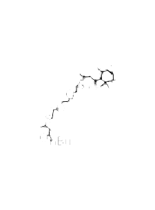 CCCCC(=O)CC(C)SCCOCCOCCSC(C)CC(=O)C1C(C)C=CCC1(C)C